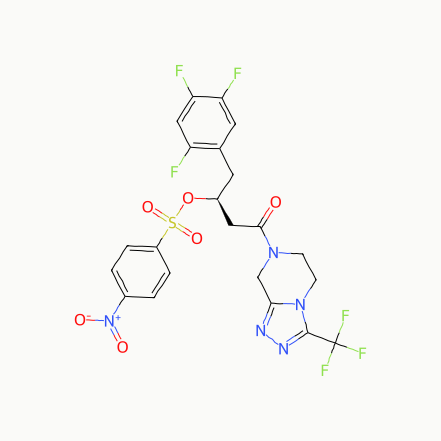 O=C(C[C@H](Cc1cc(F)c(F)cc1F)OS(=O)(=O)c1ccc([N+](=O)[O-])cc1)N1CCn2c(nnc2C(F)(F)F)C1